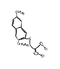 CCOC(CSc1cc2cc(OC)ccc2cc1OC)OCC